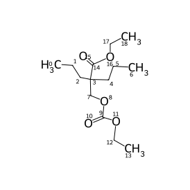 CCCC(CCC)(COC(=O)OCC)C(=O)OCC